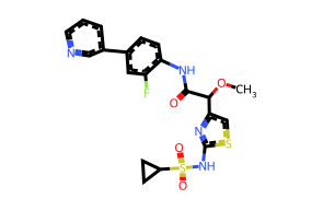 COC(C(=O)Nc1ccc(-c2cccnc2)cc1F)c1csc(NS(=O)(=O)C2CC2)n1